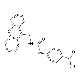 O=C(NCc1c2ccccc2cc2ccccc12)Nc1ccc(C(O)O)cc1